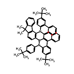 CC(C)(C)c1ccc(N2B3c4ccc5c(c4N(c4ccc(C(C)(C)C)cc4-c4ccccc4)c4cc6ccccc6c(c43)-c3ccc(C(C)(C)C)cc32)-c2ccccc2C5(C)C)cc1